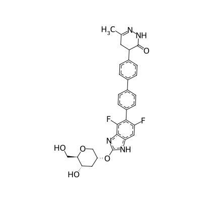 CC1=NNC(=O)C(c2ccc(-c3ccc(-c4c(F)cc5[nH]c(O[C@H]6CO[C@H](CO)[C@@H](O)C6)nc5c4F)cc3)cc2)C1